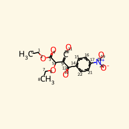 CCOC(=O)C(OCC)C(=C=O)C(=O)c1ccc([N+](=O)[O-])cc1